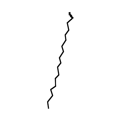 CCCCCCCCCCCCCCCCP=S